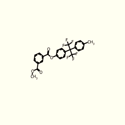 COC(=O)c1cccc(C(=O)Oc2ccc(C(c3ccc(C)cc3)(C(F)(F)F)C(F)(F)F)cc2)c1